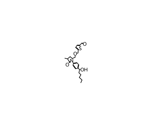 CCCCC[C@H](O)c1ccc(N2C(=O)C(C)CC2COCc2ccc(C=O)s2)cc1